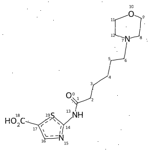 O=C(CCCCCN1CCOCC1)Nc1ncc(C(=O)O)s1